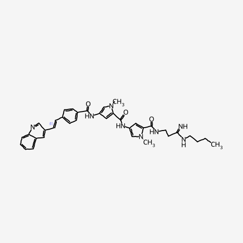 CCCCNC(=N)CCNC(=O)c1cc(NC(=O)c2cc(NC(=O)c3ccc(/C=C/c4cnc5ccccc5c4)cc3)cn2C)cn1C